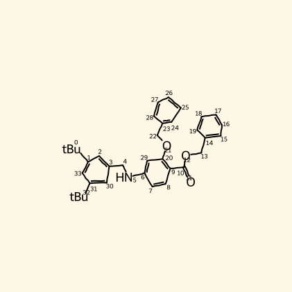 CC(C)(C)c1cc(CNc2ccc(C(=O)OCc3ccccc3)c(OCc3ccccc3)c2)cc(C(C)(C)C)c1